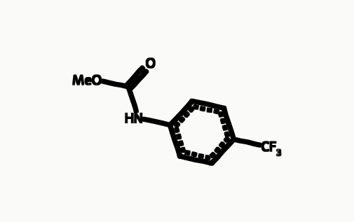 COC(=O)Nc1ccc(C(F)(F)F)cc1